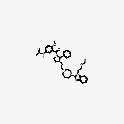 CCOCCn1c(N2CCCN(CCC3CCN(C(=O)c4cc(NC(C)=O)ccc4OC)C3c3ccccc3)CC2)nc2ccccc21